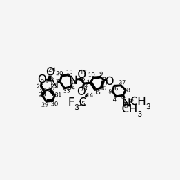 CN(C)C1CCC(Oc2ccc(C(OCC(F)(F)F)C(=O)N3CCC(N4C(=O)OCc5ccccc54)CC3)cc2)CC1